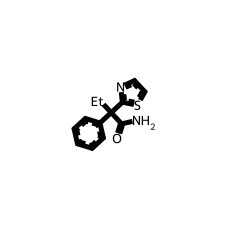 CCC(C(N)=O)(c1ccccc1)c1nccs1